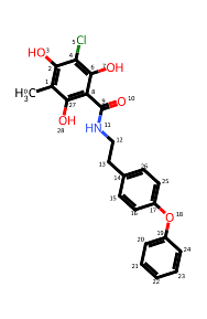 Cc1c(O)c(Cl)c(O)c(C(=O)NCCc2ccc(Oc3ccccc3)cc2)c1O